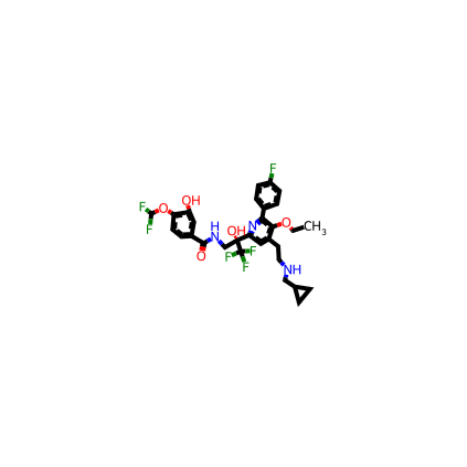 CCOc1c(CCNCC2CC2)cc([C@@](O)(CNC(=O)c2ccc(OC(F)F)c(O)c2)C(F)(F)F)nc1-c1ccc(F)cc1